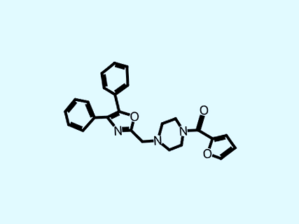 O=C(c1ccco1)N1CCN(Cc2nc(-c3ccccc3)c(-c3ccccc3)o2)CC1